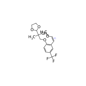 CO/C=C\c1cc(C(F)(F)F)ccc1OCC(C)(C)C1OCCO1